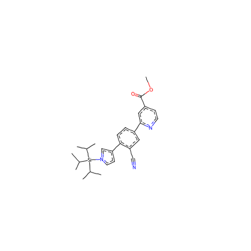 COC(=O)c1ccnc(-c2ccc(-c3ccn([Si](C(C)C)(C(C)C)C(C)C)c3)c(C#N)c2)c1